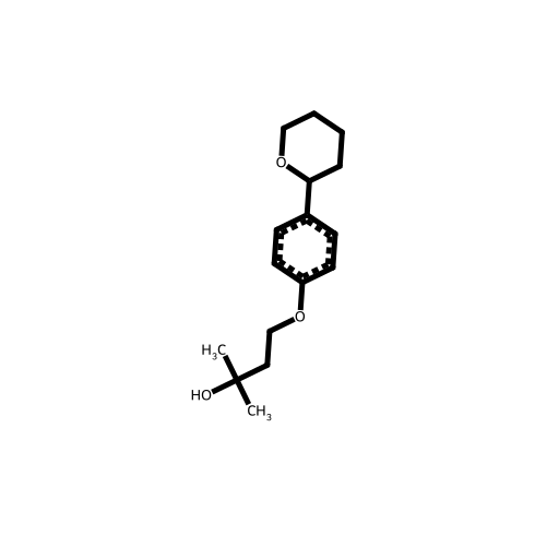 CC(C)(O)CCOc1ccc(C2CCCCO2)cc1